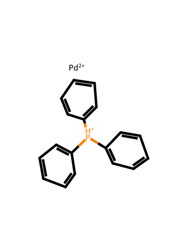 [Pd+2].c1ccc([PH+](c2ccccc2)c2ccccc2)cc1